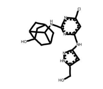 OCc1cc(Nc2cc(Cl)nc(NC3C4CC5CC3C(O)(C5)C4)n2)n[nH]1